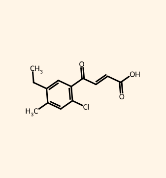 CCc1cc(C(=O)/C=C/C(=O)O)c(Cl)cc1C